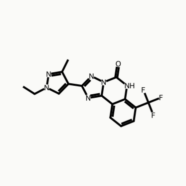 CCn1cc(-c2nc3c4cccc(C(F)(F)F)c4[nH]c(=O)n3n2)c(C)n1